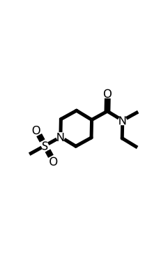 CCN(C)C(=O)C1CCN(S(C)(=O)=O)CC1